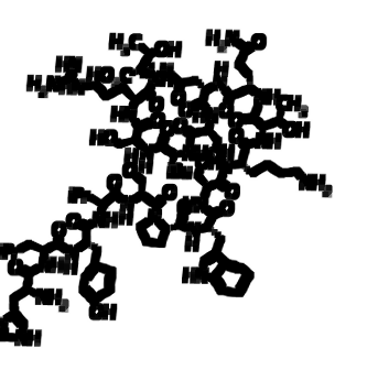 CC[C@H](C)[C@H](NC(=O)[C@H](CO)NC(=O)[C@H](CC(N)=O)NC(=O)[C@H](CCC(N)=O)NC(=O)[C@@H](NC(=O)[C@H](CCCCN)NC(=O)[C@H](CO)NC(=O)[C@H](Cc1c[nH]c2ccccc12)NC(=O)[C@@H]1CCCN1C(=O)[C@H](CO)NC(=O)[C@@H](NC(=O)[C@H](Cc1ccc(O)cc1)NC(=O)[C@H](CC(C)C)NC(=O)[C@@H](N)Cc1c[nH]cn1)C(C)C)[C@@H](C)O)C(=O)N[C@@H](CO)C(=O)N[C@@H](CCCNC(=N)N)C(=O)N[C@H](C(=O)O)[C@@H](C)O